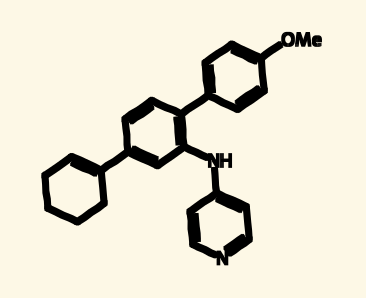 COc1ccc(-c2ccc(C3=CCCCC3)cc2Nc2ccncc2)cc1